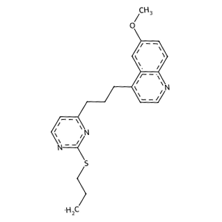 [CH2]CCSc1nccc(CCCc2ccnc3ccc(OC)cc23)n1